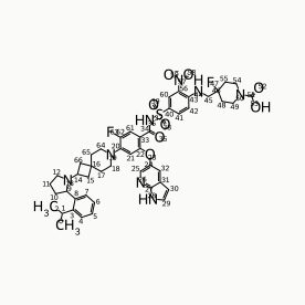 CC(C)c1ccccc1C1CCCN1C1CC2(CCN(c3cc(Oc4cnc5[nH]ccc5c4)c(C(=O)NS(=O)(=O)c4ccc(NCC5(F)CCN(C(=O)O)CC5)c([N+](=O)[O-])c4)cc3F)CC2)C1